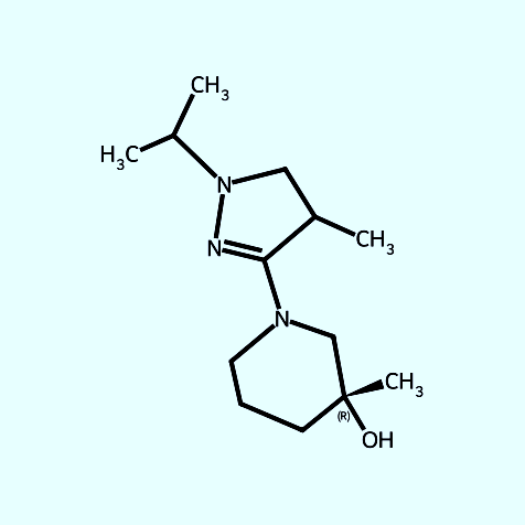 CC1CN(C(C)C)N=C1N1CCC[C@@](C)(O)C1